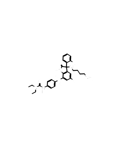 CCN(CC)C(=O)Nc1ccc(S(=O)(=O)c2cc(Cl)cc3c2NC(=O)C3(NCCCCN)c2ccccc2Cl)cc1